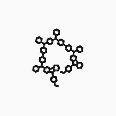 C=Cc1ccc(-n2c3ccccc3c3cc(N(c4ccccc4)c4ccc(-c5ccc(N(c6ccccc6)c6ccc(N(c7ccccc7)c7ccc(-c8ccc(N(c9ccccc9)c9ccc%10c(c9)c9ccccc9n%10-c9ccc(C=C)cc9)cc8)cc7)cc6)cc5)cc4)ccc32)cc1